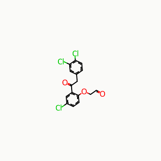 O=CCOc1ccc(Cl)cc1C(=O)Cc1ccc(Cl)c(Cl)c1